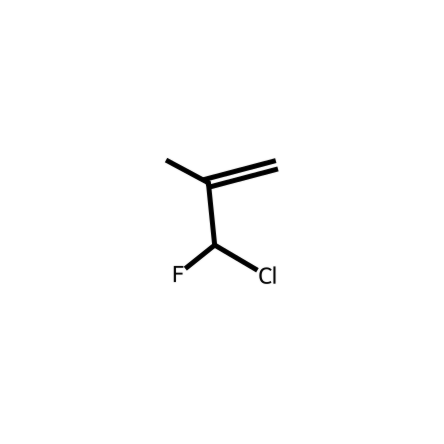 C=C(C)C(F)Cl